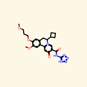 COCCCOc1cc2c(cc1OC)-c1cc(=O)c(C(=O)Nc3nnn[nH]3)cn1C(C1CCC1)C2